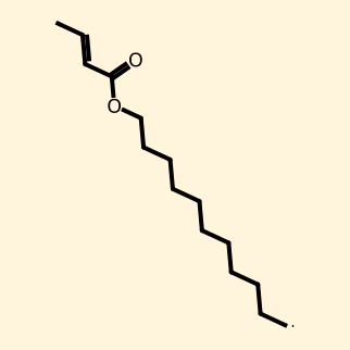 [CH2]CCCCCCCCCCOC(=O)C=CC